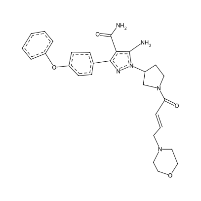 NC(=O)c1c(-c2ccc(Oc3ccccc3)cc2)nn(C2CCN(C(=O)C=CCN3CCOCC3)C2)c1N